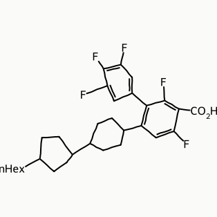 CCCCCCC1CCC(C2CCC(c3cc(F)c(C(=O)O)c(F)c3-c3cc(F)c(F)c(F)c3)CC2)CC1